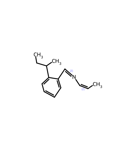 C/C=C\N=C/c1ccccc1C(C)CC